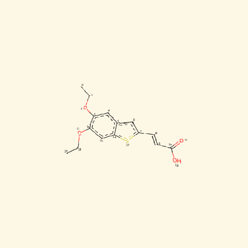 CCOc1cc2cc(C=CC(=O)O)sc2cc1OCC